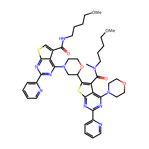 COCCCCNC(=O)c1csc2nc(-c3ccccn3)nc(N3CCOC(c4sc5nc(-c6ccccn6)nc(N6CCOCC6)c5c4C(=O)N(C)CCCCOC)C3)c12